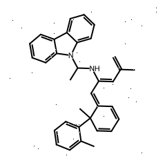 C=C(C)/C=C(/C=C1\C=CC=CC1(C)c1ccccc1C)NC(C)n1c2ccccc2c2ccccc21